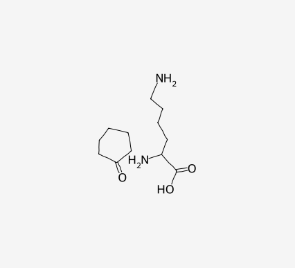 NCCCCC(N)C(=O)O.O=C1CCCCC1